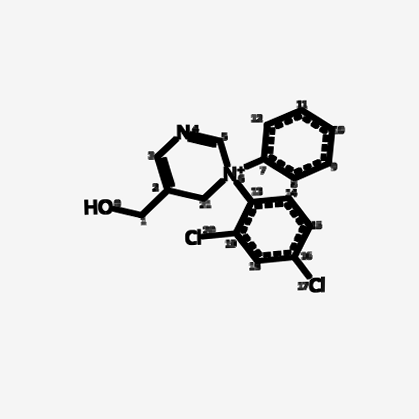 OCC1=CN=C[N+](c2ccccc2)(c2ccc(Cl)cc2Cl)C1